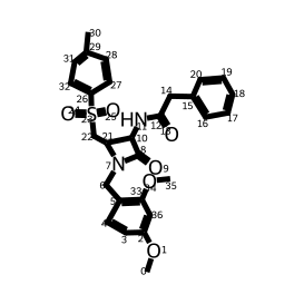 COc1ccc(CN2C(=O)C(NC(=O)Cc3ccccc3)C2CS(=O)(=O)c2ccc(C)cc2)c(OC)c1